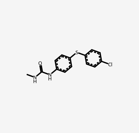 CNC(=O)Nc1ccc(Sc2ccc(Cl)cc2)cc1